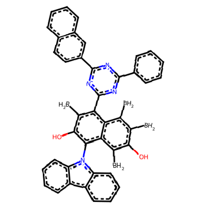 Bc1c(O)c(B)c2c(-n3c4ccccc4c4ccccc43)c(O)c(B)c(-c3nc(-c4ccccc4)nc(-c4ccc5ccccc5c4)n3)c2c1B